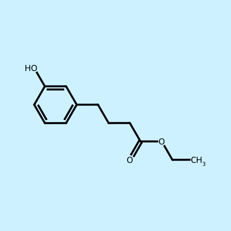 CCOC(=O)CCCc1cccc(O)c1